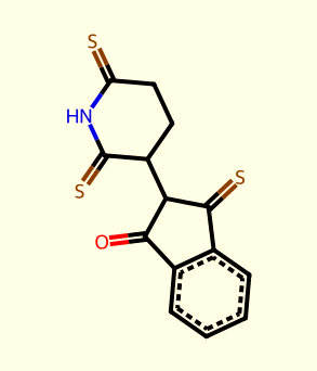 O=C1c2ccccc2C(=S)C1C1CCC(=S)NC1=S